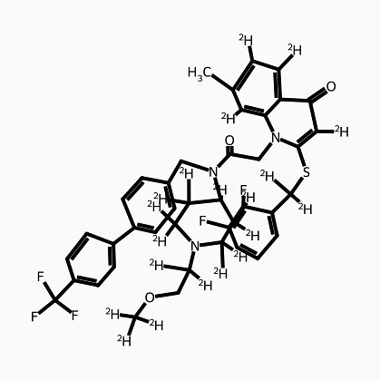 [2H]c1c(C)c([2H])c2c(c1[2H])c(=O)c([2H])c(SC([2H])([2H])c1cccc(F)c1F)n2CC(=O)N(Cc1ccc(-c2ccc(C(F)(F)F)cc2)cc1)C1([2H])C([2H])([2H])C([2H])([2H])N(C([2H])([2H])COC([2H])([2H])[2H])C([2H])([2H])C1([2H])[2H]